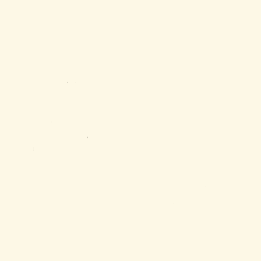 C#Cc1cc(C)ccc1COS(C)(=O)=O